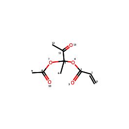 C=CC(=O)OC(C)(OC(C)=O)C(C)=O